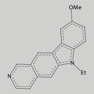 CCn1c2ccc(OC)cc2c2cc3cnccc3cc21